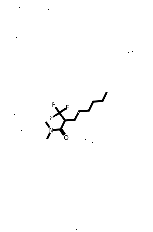 CCCCCCC(C(=O)N(C)C)C(F)(F)F